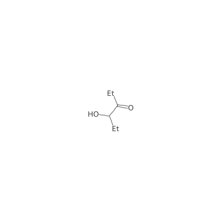 [CH2]CC(O)C(=O)CC